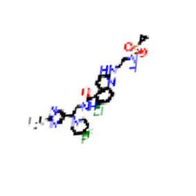 O=C(NCC(c1cnc(C(F)(F)F)nc1)N1CCC(F)(F)CC1)c1c(Cl)ccc2nc(NCCNS(=O)(=O)C3CC3)ccc12